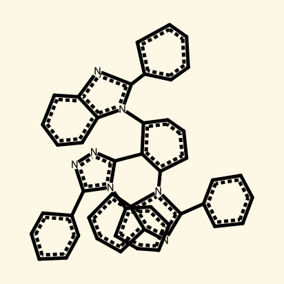 c1ccc(-c2nnc(-c3c(-n4c(-c5ccccc5)nc5ccccc54)cccc3-n3c(-c4ccccc4)nc4ccccc43)n2-c2ccccc2)cc1